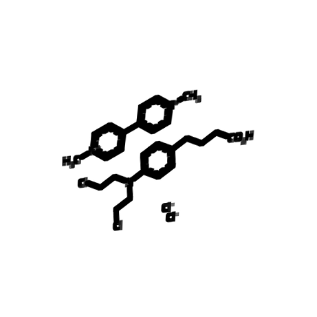 C[n+]1ccc(-c2cc[n+](C)cc2)cc1.O=C(O)CCCc1ccc(N(CCCl)CCCl)cc1.[Cl-].[Cl-]